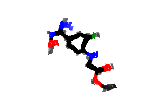 CC(C)(C)OC(=O)CNc1ccc(/C(N)=N\O)cc1F